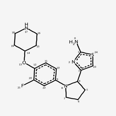 Nc1nc(C2CCCN2c2ccc(OC3CCNCC3)c(F)c2)cs1